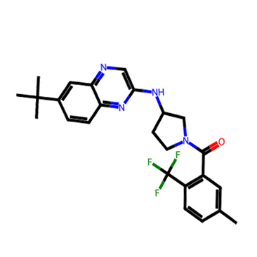 Cc1ccc(C(F)(F)F)c(C(=O)N2CCC(Nc3cnc4cc(C(C)(C)C)ccc4n3)C2)c1